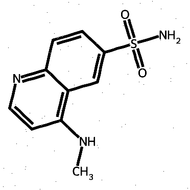 CNc1ccnc2ccc(S(N)(=O)=O)cc12